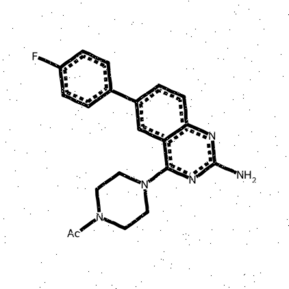 CC(=O)N1CCN(c2nc(N)nc3ccc(-c4ccc(F)cc4)cc23)CC1